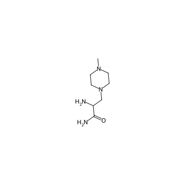 CN1CCN(CC(N)C(N)=O)CC1